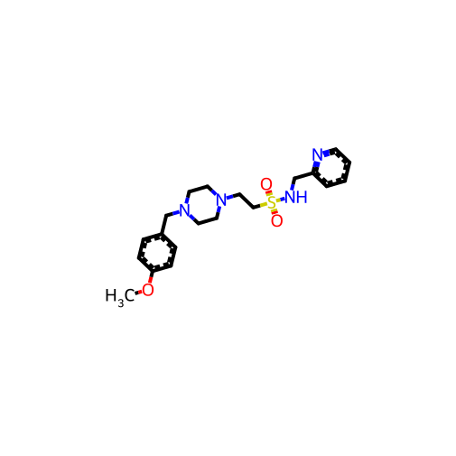 COc1ccc(CN2CCN(CCS(=O)(=O)NCc3ccccn3)CC2)cc1